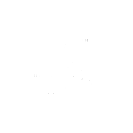 Cc1ccc([Si](C)(Cl)c2ccc(C)c(C)c2)cc1C